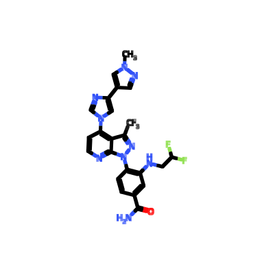 Cn1cc(-c2cn(-c3ccnc4c3c(C(F)(F)F)nn4-c3ccc(C(N)=O)cc3NCC(F)F)cn2)cn1